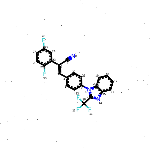 N#C/C(=C\c1ccc(-n2c(C(F)(F)F)nc3ccccc32)cc1)c1cc(F)ccc1F